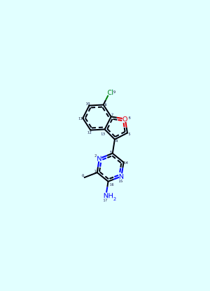 Cc1nc(-c2coc3c(Cl)cccc23)cnc1N